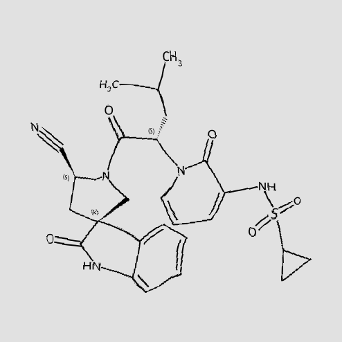 CC(C)C[C@@H](C(=O)N1C[C@]2(C[C@H]1C#N)C(=O)Nc1ccccc12)n1cccc(NS(=O)(=O)C2CC2)c1=O